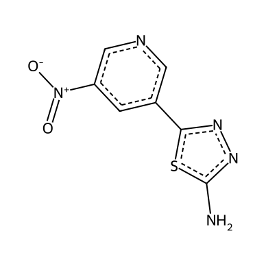 Nc1nnc(-c2cncc([N+](=O)[O-])c2)s1